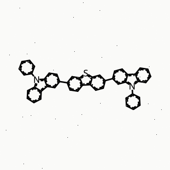 c1ccc(-n2c3ccccc3c3cc(-c4ccc5c(c4)sc4cc(-c6ccc7c8ccccc8n(-c8ccccc8)c7c6)ccc45)ccc32)cc1